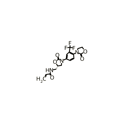 C=CC(=O)NC[C@H]1CN(c2ccc(N3CCOC3=O)c(C(F)(F)F)c2)C(=O)O1